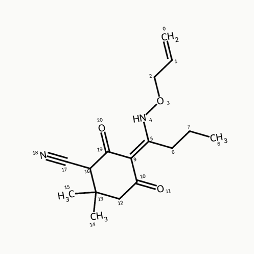 C=CCONC(CCC)=C1C(=O)CC(C)(C)C(C#N)C1=O